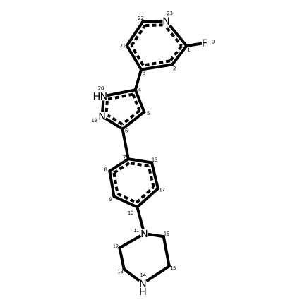 Fc1cc(-c2cc(-c3ccc(N4CCNCC4)cc3)n[nH]2)ccn1